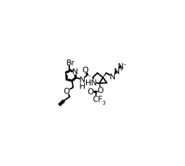 C#CCOCc1ccc(Br)nc1NC(=O)[C@@H]1C[C@]2(CN=[N+]=[N-])C[C@]2(OC(=O)C(F)(F)F)N1